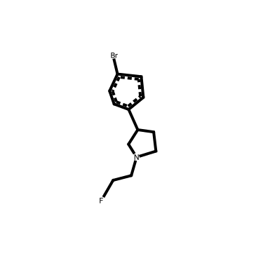 FCCN1CCC(c2ccc(Br)cc2)C1